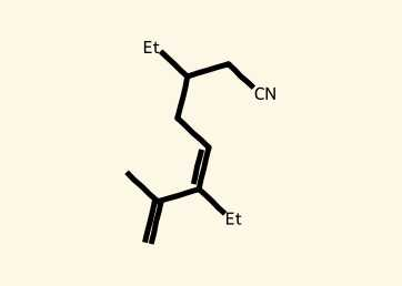 C=C(C)C(=CCC(CC)CC#N)CC